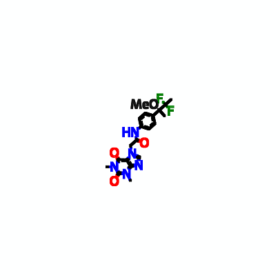 COC(C)(c1ccc(NC(=O)Cn2cnc3c2c(=O)n(C)c(=O)n3C)cc1)C(C)(F)F